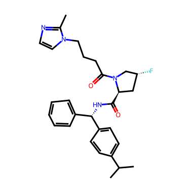 Cc1nccn1CCCC(=O)N1C[C@H](F)C[C@H]1C(=O)N[C@@H](c1ccccc1)c1ccc(C(C)C)cc1